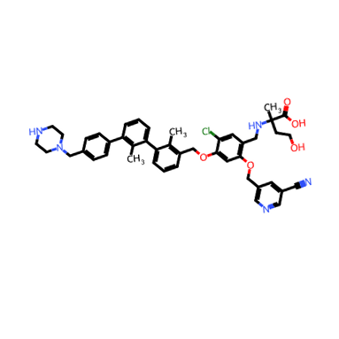 Cc1c(COc2cc(OCc3cncc(C#N)c3)c(CNC(C)(CCO)C(=O)O)cc2Cl)cccc1-c1cccc(-c2ccc(CN3CCNCC3)cc2)c1C